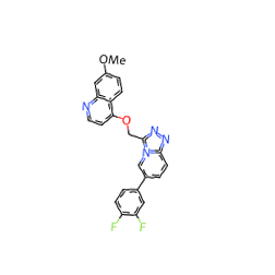 COc1ccc2c(OCc3nnc4ccc(-c5ccc(F)c(F)c5)cn34)ccnc2c1